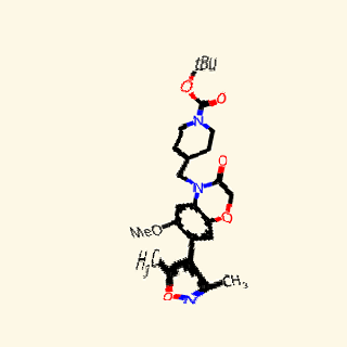 COc1cc2c(cc1-c1c(C)noc1C)OCC(=O)N2CC1CCN(C(=O)OC(C)(C)C)CC1